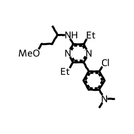 CCc1nc(-c2ccc(N(C)C)cc2Cl)c(CC)nc1NC(C)CCOC